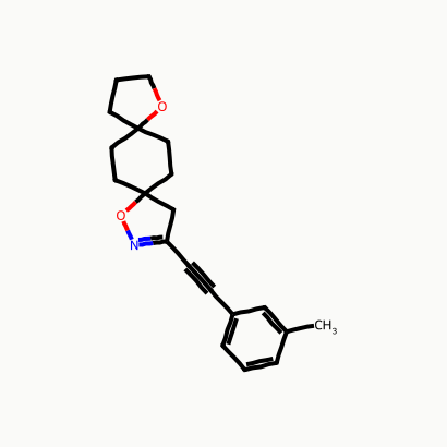 Cc1cccc(C#CC2=NOC3(CCC4(CCCO4)CC3)C2)c1